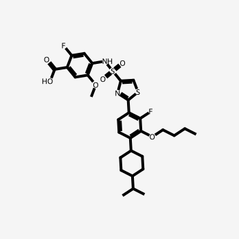 CCCCOc1c(C2CCC(C(C)C)CC2)ccc(-c2nc(S(=O)(=O)Nc3cc(F)c(C(=O)O)cc3OC)cs2)c1F